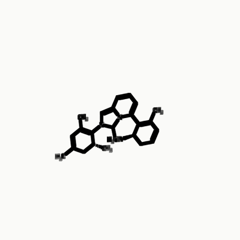 CCC[C@@H]1CC=CC(C)=C1C1=CC=CC2=CN(C3=C(C)C=C(C)C[C@H]3C)C(C)N21